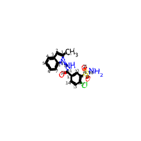 Cc1cc2ccccc2n1NC(=O)c1ccc(Cl)c(S(N)(=O)=O)c1